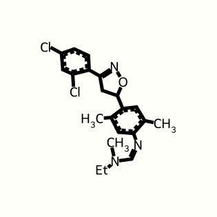 CCN(C)/C=N\c1cc(C)c(C2CC(c3ccc(Cl)cc3Cl)=NO2)cc1C